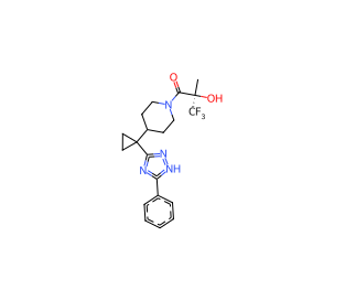 C[C@@](O)(C(=O)N1CCC(C2(c3n[nH]c(-c4ccccc4)n3)CC2)CC1)C(F)(F)F